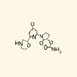 NC(=O)O[C@@H]1CCN(c2cc(Cl)cc(C3CNCCO3)n2)C1=O